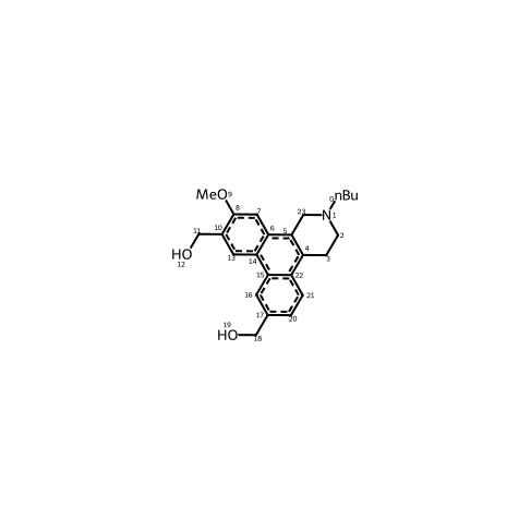 CCCCN1CCc2c(c3cc(OC)c(CO)cc3c3cc(CO)ccc23)C1